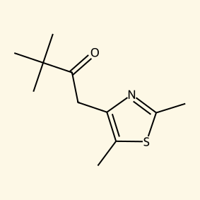 Cc1nc(CC(=O)C(C)(C)C)c(C)s1